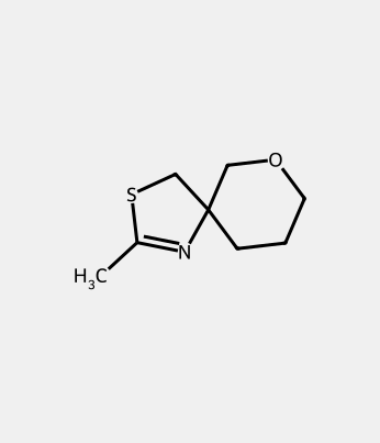 CC1=NC2(CCCOC2)CS1